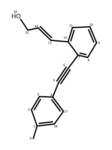 Cc1ccc(C#Cc2ccccc2/C=C/CO)cc1